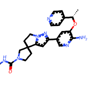 CCNC(=O)N1CCC2(CCn3nc(-c4cnc(N)c(O[C@@H](C)c5ccncc5)c4)cc32)C1